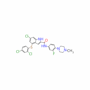 CN1CCN(c2ccc(NC(=O)c3cc4c(Sc5ccc(Cl)cc5Cl)cc(Cl)cc4[nH]3)cc2F)CC1